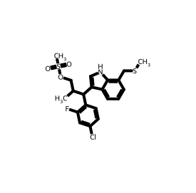 CSCc1cccc2c(C(c3ccc(Cl)cc3F)C(C)COS(C)(=O)=O)c[nH]c12